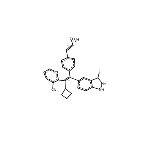 N#Cc1cccnc1/C(=C(\c1ccc(/C=C/C(=O)O)cc1)c1ccc2c(c1)C(F)NN2)C1CCC1